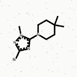 Cn1nc(Br)nc1N1CCC(C)(C)CC1